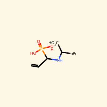 C=CC(NC(CCC)C(=O)O)P(=O)(O)O